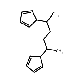 CC(CCC(C)C1C=CC=C1)C1C=CC=C1